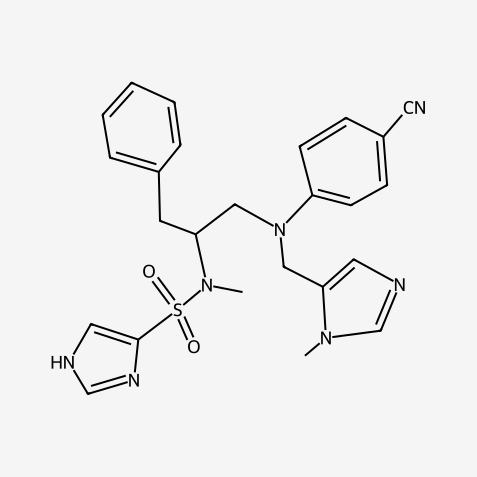 CN(C(Cc1ccccc1)CN(Cc1cncn1C)c1ccc(C#N)cc1)S(=O)(=O)c1c[nH]cn1